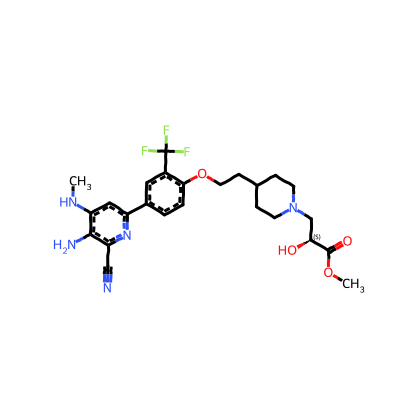 CNc1cc(-c2ccc(OCCC3CCN(C[C@H](O)C(=O)OC)CC3)c(C(F)(F)F)c2)nc(C#N)c1N